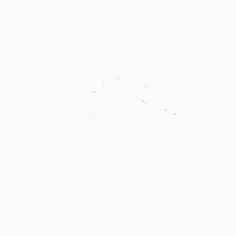 C/C=C(O)\C(=C/C(Cl)CN=O)Cc1cc(C)cc(Cc2cc(Cl)c(N)cc2N=O)c1O